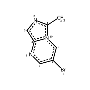 FC(F)(F)c1ncc2ncc(Br)cn12